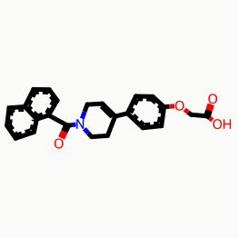 O=C(O)COc1ccc(C2=CCN(C(=O)c3cccc4ccccc34)CC2)cc1